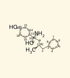 C[C@H](Cc1ccccc1)C[C@@](N)(O)c1ccc(O)cc1